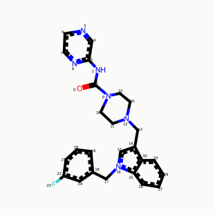 O=C(Nc1cnccn1)N1CCN(Cc2cn(Cc3cccc(F)c3)c3ccccc23)CC1